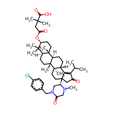 CC(C)C1=C2[C@H]3CC[C@@H]4[C@@]5(C)CC[C@H](OC(=O)CC(C)(C)C(=O)O)C(C)(C)[C@@H]5CC[C@@]4(C)[C@]3(C)CCC2([C@@H]2CN(Cc3ccc(Cl)cc3)C(=O)CN2C)CC1=O